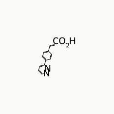 O=C(O)C=Cc1ccc(-c2cccnn2)cc1